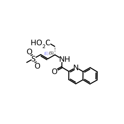 CS(=O)(=O)/C=C/[C@H](CC(=O)O)NC(=O)c1ccc2ccccc2n1